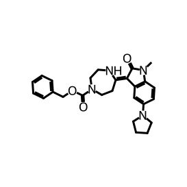 CN1C(=O)/C(=C2/CCN(C(=O)OCc3ccccc3)CCN2)c2cc(N3CCCC3)ccc21